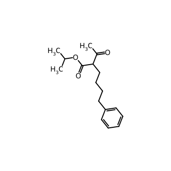 CC(=O)C(CCCCc1ccccc1)C(=O)OC(C)C